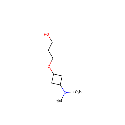 CC(C)(C)N(C(=O)O)C1CC(OCCCO)C1